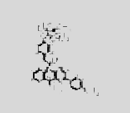 C=C(c1ccccc1)c1nc(-c2ccc(C)cc2)cnc1NC(=O)Cc1ccc(O[Si](C)(C)C(C)(C)C)cc1